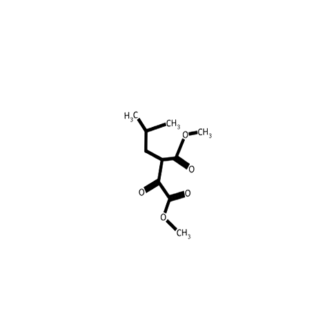 COC(=O)C(=O)C(CC(C)C)C(=O)OC